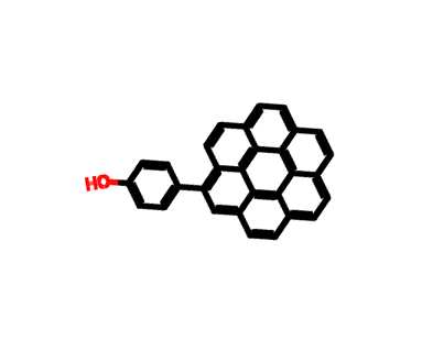 Oc1ccc(-c2cc3ccc4ccc5ccc6ccc7ccc2c2c7c6c5c4c32)cc1